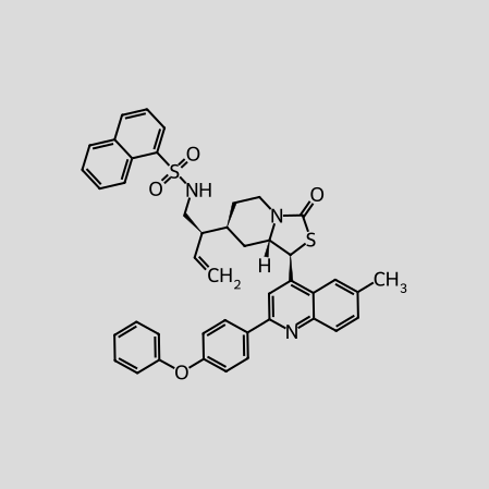 C=C[C@@H](CNS(=O)(=O)c1cccc2ccccc12)[C@H]1CCN2C(=O)S[C@@H](c3cc(-c4ccc(Oc5ccccc5)cc4)nc4ccc(C)cc34)[C@@H]2C1